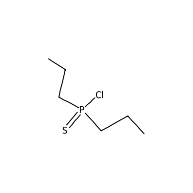 CCCP(=S)(Cl)CCC